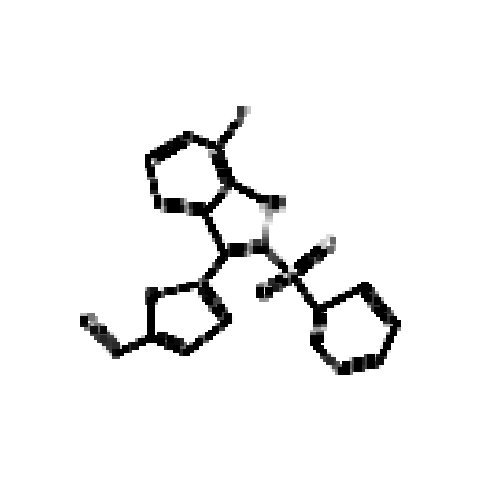 O=Cc1ccc(-c2c(S(=O)(=O)c3ccccc3)[nH]c3c(F)cccc23)s1